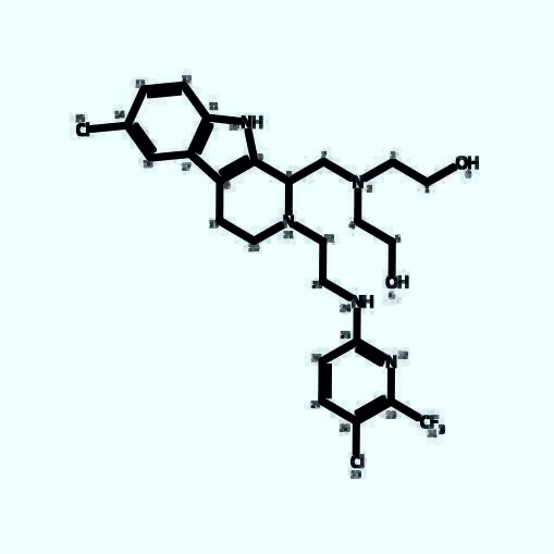 OCCN(CCO)CC1c2[nH]c3ccc(Cl)cc3c2CCN1CCNc1ccc(Cl)c(C(F)(F)F)n1